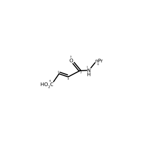 CCCNC(=O)C=CC(=O)O